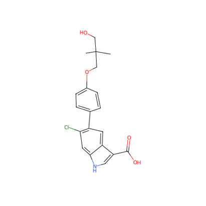 CC(C)(CO)COc1ccc(-c2cc3c(C(=O)O)c[nH]c3cc2Cl)cc1